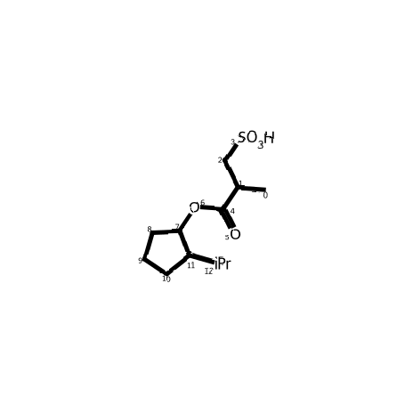 CC(CS(=O)(=O)O)C(=O)OC1CCCC1C(C)C